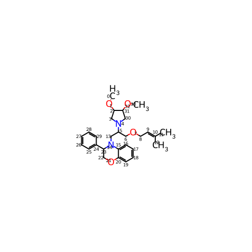 COC1CN(C(COCC=C(C)C)CN2c3ccccc3OCC2c2ccccc2)CC1OC